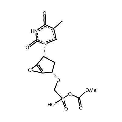 COC(=O)OP(=O)(O)CO[C@H]1C[C@@H](n2cc(C)c(=O)[nH]c2=O)C2=C1O2